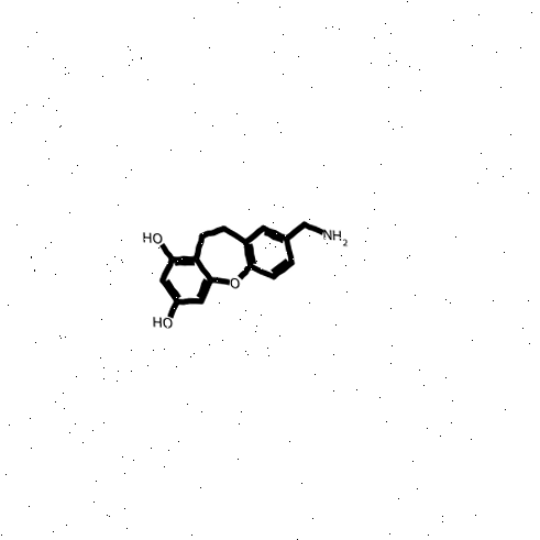 NCc1ccc2c(c1)CCc1c(O)cc(O)cc1O2